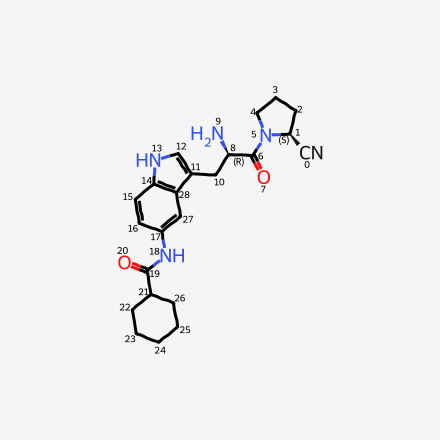 N#C[C@@H]1CCCN1C(=O)[C@H](N)Cc1c[nH]c2ccc(NC(=O)C3CCCCC3)cc12